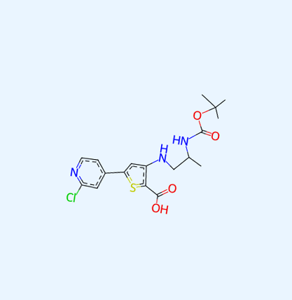 CC(CNc1cc(-c2ccnc(Cl)c2)sc1C(=O)O)NC(=O)OC(C)(C)C